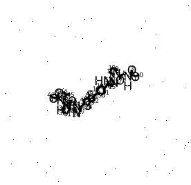 COC(=O)NCC(=O)N1CCC[C@H]1c1ncc(-c2ccc(-c3cc4sc(-c5cnc([C@@H]6CCCN6C(=O)[C@@H](NC(=O)OC)C(C)C)[nH]5)cc4s3)cc2)[nH]1